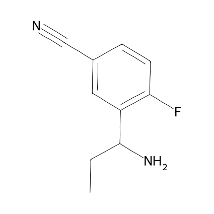 CCC(N)c1cc(C#N)ccc1F